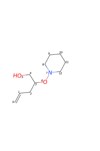 C=CCC(CO)ON1CCCCC1